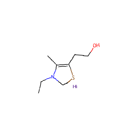 CCN1CSC(CCO)=C1C.I